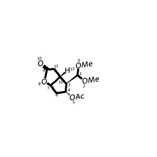 COC(OC)[C@H]1[C@H](OC(C)=O)CC2OC(=O)C[C@@H]21